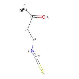 CCCCC(=O)CCN=C=S